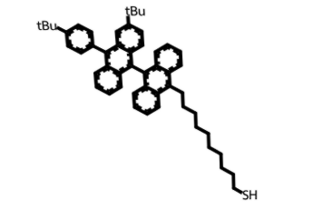 CC(C)(C)c1ccc(-c2c3ccccc3c(-c3c4ccccc4c(CCCCCCCCCCS)c4ccccc34)c3ccc(C(C)(C)C)cc23)cc1